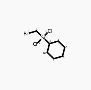 Cl[Si](Cl)(CBr)C1CCCCC1